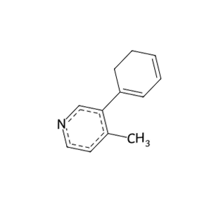 Cc1ccncc1C1=CC=CCC1